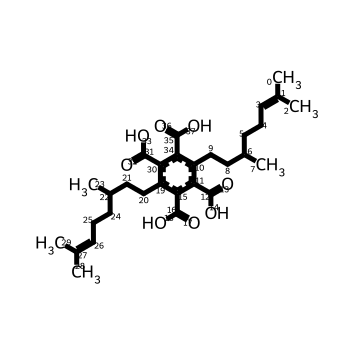 CC(C)=CCCC(C)CCc1c(C(=O)O)c(C(=O)O)c(CCC(C)CCC=C(C)C)c(C(=O)O)c1C(=O)O